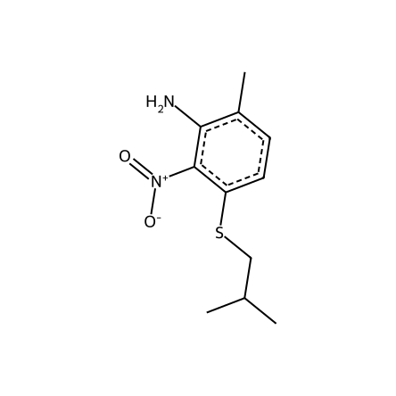 Cc1ccc(SCC(C)C)c([N+](=O)[O-])c1N